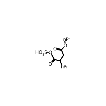 CCCOC(=O)CC(CCC)C(=O)OS(=O)(=O)O